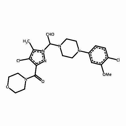 COc1cc(N2CCN(C(C=O)n3nc(C(=O)N4CCOCC4)c(Cl)c3C)CC2)ccc1Cl